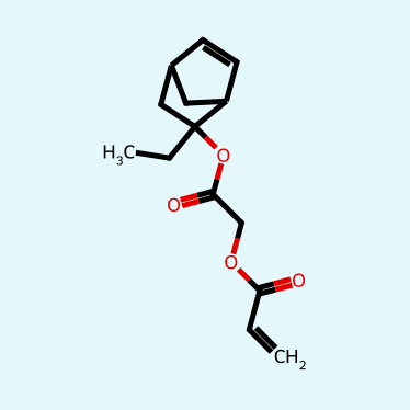 C=CC(=O)OCC(=O)OC1(CC)CC2C=CC1C2